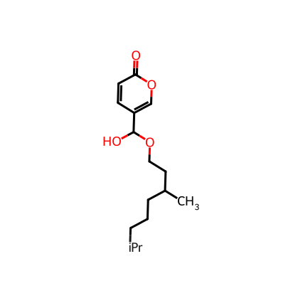 CC(C)CCCC(C)CCOC(O)c1ccc(=O)oc1